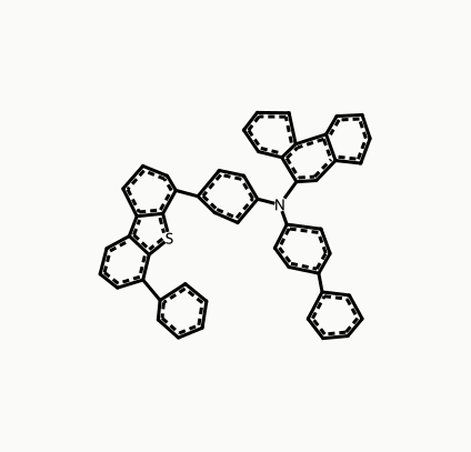 c1ccc(-c2ccc(N(c3ccc(-c4cccc5c4sc4c(-c6ccccc6)cccc45)cc3)c3cc4ccccc4c4ccccc34)cc2)cc1